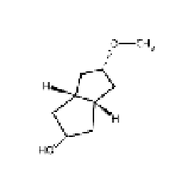 CO[C@H]1C[C@H]2C[C@@H](O)C[C@H]2C1